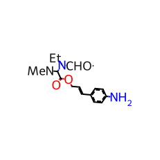 CCN([C]=O)C(NC)C(=O)OCC=Cc1ccc(N)cc1